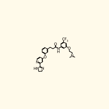 CN(C)CCOc1cc(NC(=O)CCc2cccc(Oc3ccnc(C4=NCCN4)c3)c2)cc(C(F)(F)F)c1